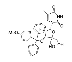 COc1ccc(C(O[C@H]2[C@H](F)[C@H](n3cc(C)c(=O)[nH]c3=O)OC2(CO)CO)(c2ccccc2)c2ccccc2)cc1